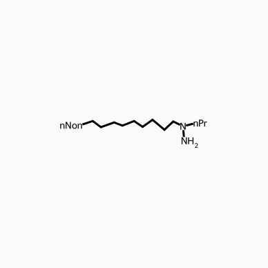 CCCCCCCCCCCCCCCCCCN(N)CCC